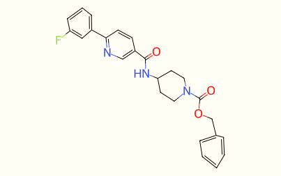 O=C(NC1CCN(C(=O)OCc2ccccc2)CC1)c1ccc(-c2cccc(F)c2)nc1